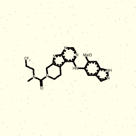 COc1cc2[nH]ncc2cc1Nc1ncnc2sc3c(c12)CCN(C(=O)N(C)CCC(F)(F)F)C3